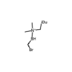 CCC(C)C[N+](C)(C)BCBr